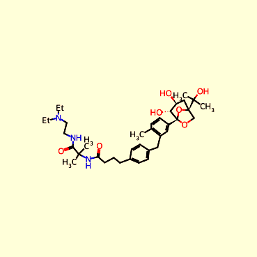 CCN(CC)CCNC(=O)C(C)(C)NC(=O)CCCc1ccc(Cc2cc([C@@]34OC[C@@](C(C)(C)O)(C[C@H](O)[C@H]3O)O4)ccc2C)cc1